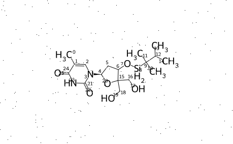 Cc1cn([C@H]2CC(O[SiH2]C(C)(C)C(C)C)C(CO)(CO)O2)c(=O)[nH]c1=O